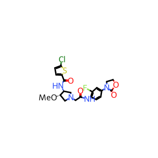 CO[C@H]1CN(CC(=O)Nc2ccc(N3CCOC3=O)cc2F)C[C@@H]1NC(=O)c1ccc(Cl)s1